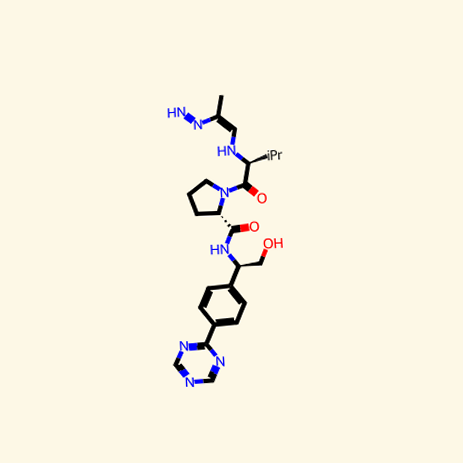 C/C(=C/N[C@H](C(=O)N1CCC[C@H]1C(=O)N[C@@H](CO)c1ccc(-c2ncncn2)cc1)C(C)C)N=N